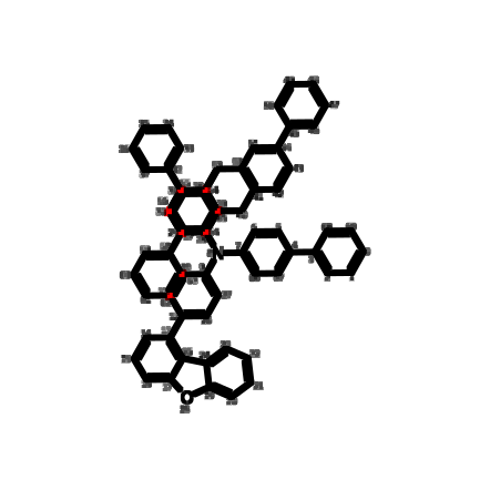 c1ccc(-c2ccc(N(c3ccc(-c4cccc5oc6ccccc6c45)cc3)c3ccc(-c4ccccc4)c4c3C3c5ccc(-c6ccccc6)cc5C4c4ccc(-c5ccccc5)cc43)cc2)cc1